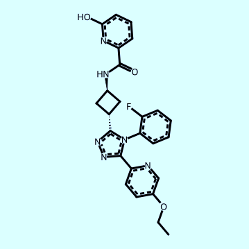 CCOc1ccc(-c2nnc([C@H]3C[C@H](NC(=O)c4cccc(O)n4)C3)n2-c2ccccc2F)nc1